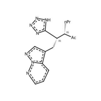 CCC[C@H](C(C)=O)[C@H](Cc1cnn2ncccc12)c1nnn[nH]1